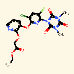 CCOC(=O)COc1ncccc1Oc1nc(-n2c(=O)n(C)c(=O)n(C)c2=O)c(F)cc1Cl